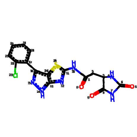 O=C(CC1NC(=O)NC1=O)Nc1nc2[nH]nc(-c3ccccc3Cl)c2s1